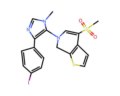 Cn1cnc(-c2ccc(I)cc2)c1N1C=C(S(C)(=O)=O)c2ccsc2C1